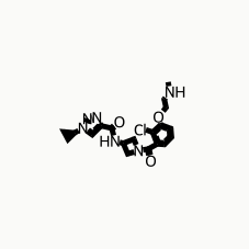 CNCCOc1cccc(C(=O)N2CC(NC(=O)c3cn(C4CC4)nn3)C2)c1Cl